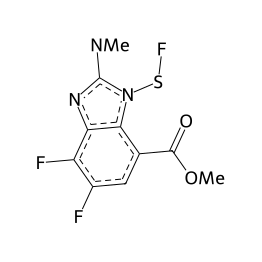 CNc1nc2c(F)c(F)cc(C(=O)OC)c2n1SF